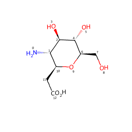 N[C@@H]1[C@@H](O)[C@H](O)[C@@H](CO)O[C@H]1CC(=O)O